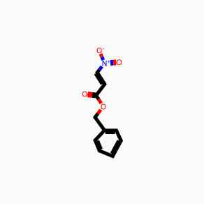 O=C(C=C[N+](=O)[O-])OCc1ccccc1